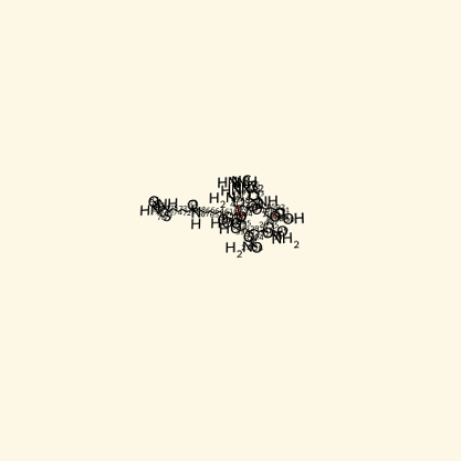 N#Cc1nc2ccc(NC(=O)C(CC(=O)C(CCC(N)=O)CC(=O)C(CCC(N)=O)CC(=O)C(CO)CC(=O)C(CCCCN)CC(=O)C(CCCNC(=N)N)CC(=O)C(CO)CC(=O)CCCCCNC(=O)CCCCC3SCC4NC(=O)NC43)Cc3ccc(O)cc3)cc2s1